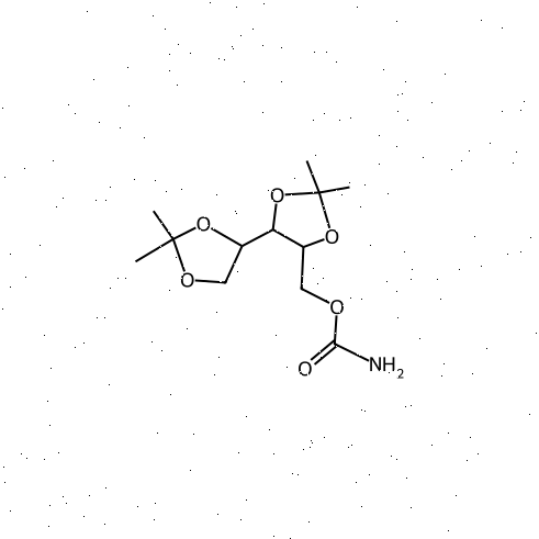 CC1(C)OCC(C2OC(C)(C)OC2COC(N)=O)O1